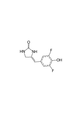 O=C1NCC(=Cc2cc(F)c(O)c(F)c2)N1